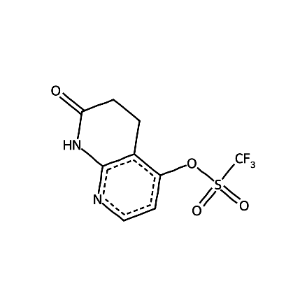 O=C1CCc2c(OS(=O)(=O)C(F)(F)F)ccnc2N1